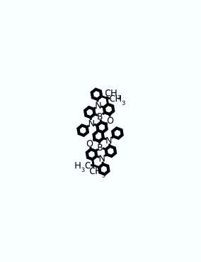 CC1(C)c2ccccc2N2c3cccc4c3B3c5c(ccc1c52)Oc1cc2c5c6c(cc2c(c13)N4c1ccccc1)Oc1ccc2c3c1B6c1c(cccc1N5c1ccccc1)N3c1ccccc1C2(C)C